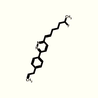 C=CCc1ccc(-c2ccc(/C=C/CCCC(C)F)nn2)cc1